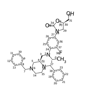 CCN(C[C@@H]1CN(Cc2ccccc2)CCN1Cc1ccccc1)c1ccc(N2C[C@H](CO)OC2=O)cc1F